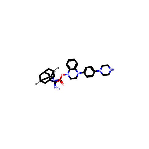 NC(=O)C12CC3C[C@H](C1)C(NC(=O)ON1CCN(c4ccc(N5CCNCC5)cc4)c4ccccc41)[C@@H](C3)C2